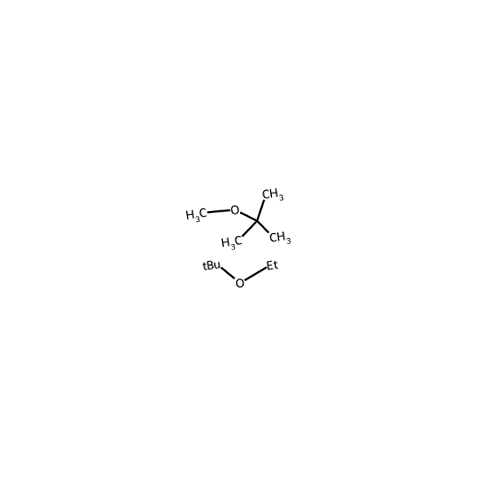 CCOC(C)(C)C.COC(C)(C)C